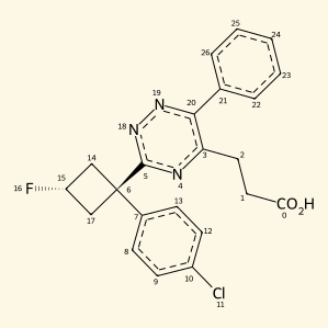 O=C(O)CCc1nc([C@]2(c3ccc(Cl)cc3)C[C@@H](F)C2)nnc1-c1ccccc1